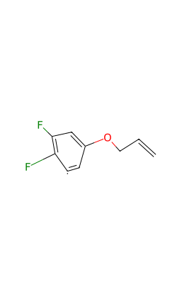 C=CCOc1c[c]c(F)c(F)c1